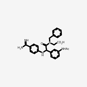 CC(=O)Nc1cccc(C(Nc2ccc(C(=N)N)cc2)C(=O)N(CC(=O)O)Cc2ccccc2)c1